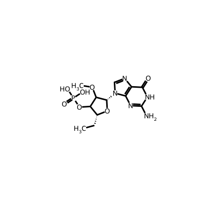 CC[C@H]1O[C@@H](n2cnc3c(=O)[nH]c(N)nc32)C(OC)C1OP(=O)(O)O